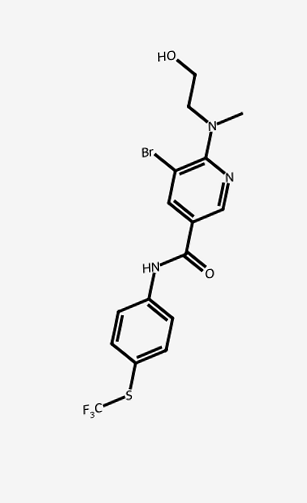 CN(CCO)c1ncc(C(=O)Nc2ccc(SC(F)(F)F)cc2)cc1Br